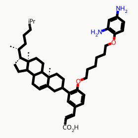 CC(C)CCC[C@@H](C)[C@H]1CCC2C3CC=C4CC(c5cc(C=CC(=O)O)ccc5OCCCCCCOc5ccc(N)cc5N)CC[C@]4(C)C3CC[C@@]21C